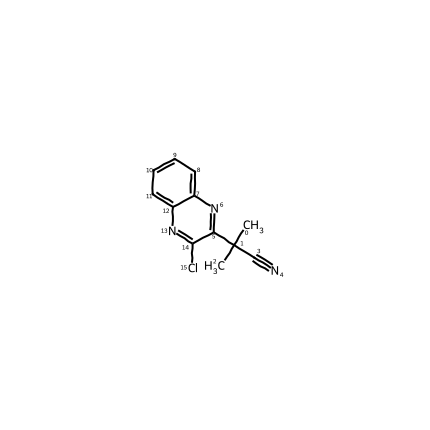 CC(C)(C#N)c1nc2ccccc2nc1Cl